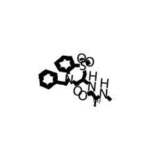 CN[C@@H](C)C(=O)NC1CS(=O)(=O)c2ccccc2N(Cc2ccccc2)C1=O